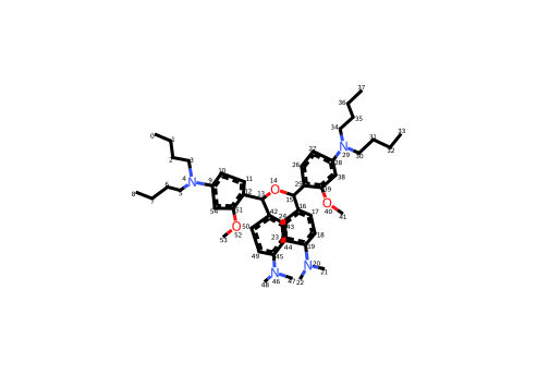 CCCCN(CCCC)c1ccc(C(OC(c2ccc(N(C)C)cc2)c2ccc(N(CCCC)CCCC)cc2OC)c2ccc(N(C)C)cc2)c(OC)c1